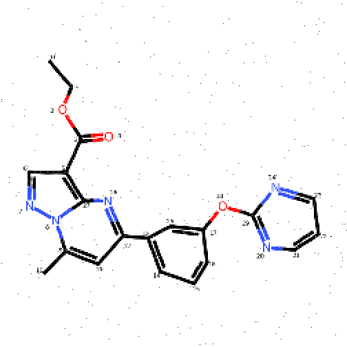 CCOC(=O)c1cnn2c(C)cc(-c3cccc(Oc4ncccn4)c3)nc12